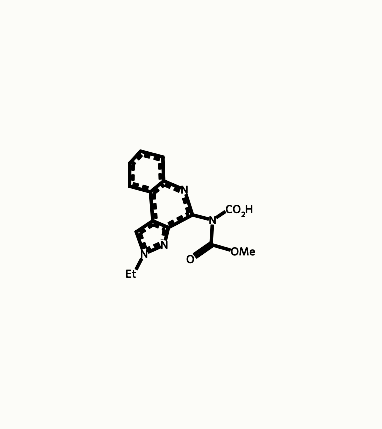 CCn1cc2c(n1)c(N(C(=O)O)C(=O)OC)nc1ccccc12